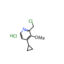 COc1c(C2CC2)ccnc1CCl.Cl